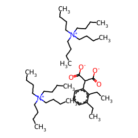 CCCC[N+](CCCC)(CCCC)CCCC.CCCC[N+](CCCC)(CCCC)CCCC.CCc1cccc(C(C(=O)[O-])C(=O)[O-])c1CC